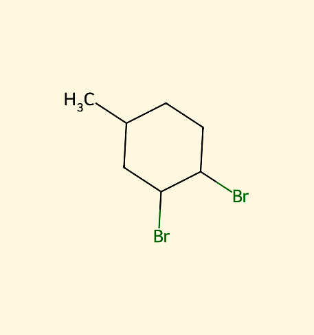 CC1CCC(Br)C(Br)C1